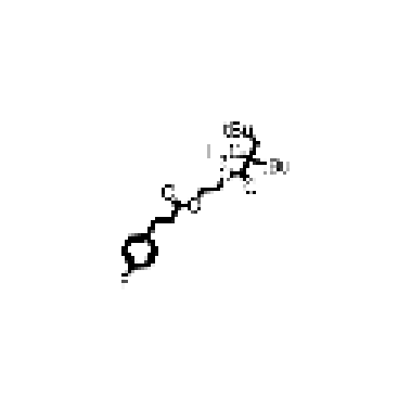 CC(C)(C)CC(C)(C(=O)OCCOC(=O)/C=C/c1ccc(F)cc1)C(C)(C)C